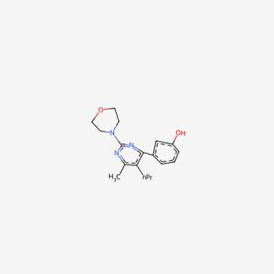 CCCc1c(C)nc(N2CCOCC2)nc1-c1cccc(O)c1